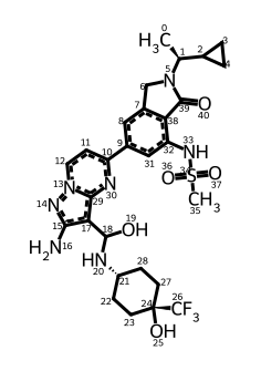 C[C@@H](C1CC1)N1Cc2cc(-c3ccn4nc(N)c(C(O)N[C@H]5CC[C@](O)(C(F)(F)F)CC5)c4n3)cc(NS(C)(=O)=O)c2C1=O